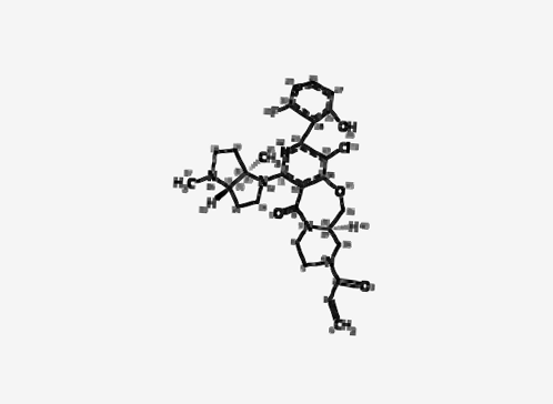 C=CC(=O)N1CCN2C(=O)c3c(N4CC[C@@H]5N(C)CC[C@]54C)nc(-c4c(O)cccc4F)c(Cl)c3OC[C@H]2C1